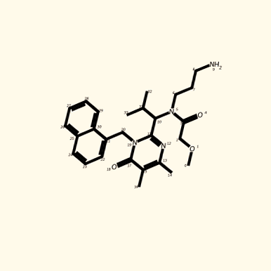 COCC(=O)N(CCCN)C(c1nc(C)c(C)c(=O)n1Cc1cccc2ccccc12)C(C)C